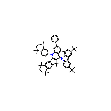 CC(C)(C)c1ccc2c(c1)c1cc(C(C)(C)C)cc3c1n2B1C2=C(c4cc5c(cc4C2(C)C)C(C)(C)CCC5(C)C)N(c2ccc4c(c2)C(C)(C)CCC4(C)C)c2cc(-c4ccccc4)cc-3c21